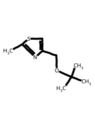 Cc1nc(COC(C)(C)C)cs1